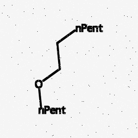 [CH2]CCCCOCCCCCCC